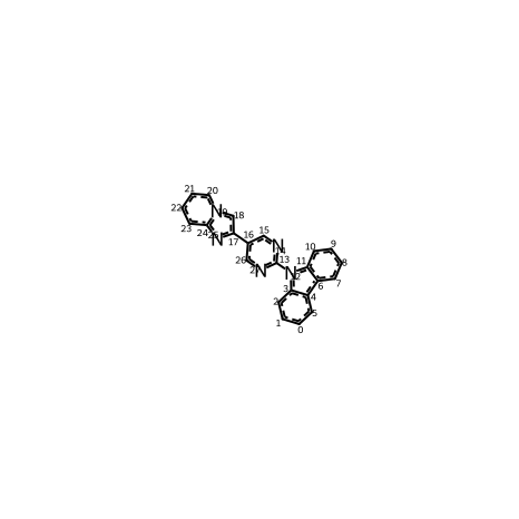 c1ccc2c(c1)c1ccccc1n2-c1ncc(-c2cn3ccccc3n2)cn1